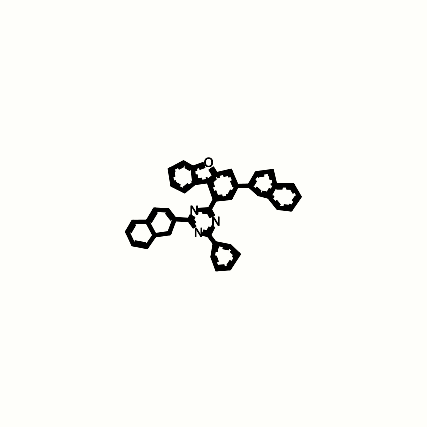 C1=CC2=CC=C(c3nc(-c4ccccc4)nc(-c4cc(-c5ccc6ccccc6c5)cc5oc6ccccc6c45)n3)CC2C=C1